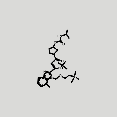 Cc1cccc2nc(/C(=C/C(=N)C3CCC(OC(=O)NC(C)C)C3)NC(C)(C)C)n(COCC[Si](C)(C)C)c12